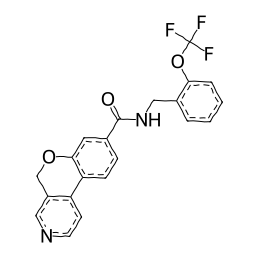 O=C(NCc1ccccc1OC(F)(F)F)c1ccc2c(c1)OCc1cnccc1-2